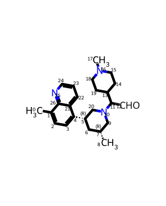 Cc1ccc([C@H]2C[C@@H](C)CN(C(C=O)C3CCN(C)CC3)C2)c2cccnc12